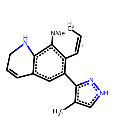 C/C=C\c1c(-c2n[nH]cc2C)cc2c(c1NC)NCC=C2